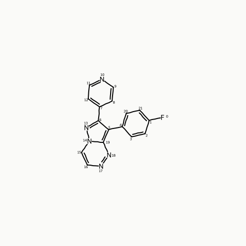 Fc1ccc(-c2c(-c3ccncc3)nn3ccnnc23)cc1